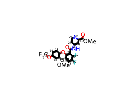 COC(=O)c1cc(NC(=O)c2c(Oc3ccc(OC(F)(F)F)cc3OC)cc(OC)c(F)c2F)ccn1